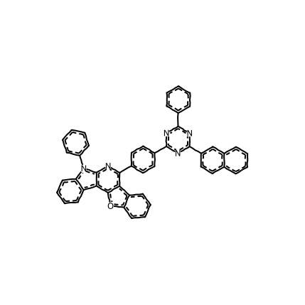 c1ccc(-c2nc(-c3ccc(-c4nc5c(c6ccccc6n5-c5ccccc5)c5oc6ccccc6c45)cc3)nc(-c3ccc4ccccc4c3)n2)cc1